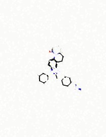 C=NC[C@H]1CC[C@@H](Cc2nc3c4c(ccc3n2[C@@H]2CCC[C@@H](C(=O)O)C2)N(C(=O)OC)[C@@H](C)CC4)CC1